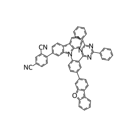 N#Cc1ccc(-c2ccc3c4ccccc4n(-c4ccc(-c5ccc6c(c5)oc5ccccc56)cc4-c4nc(-c5ccccc5)nc(-c5ccccc5)n4)c3c2)c(C#N)c1